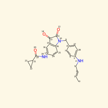 CC=CCNc1ccc(CN2C(=O)C(=O)c3cc(NC(=O)C4CC4)ccc32)cc1